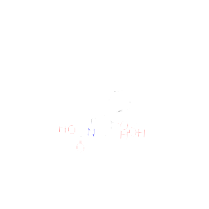 Cc1ccc(CO)c(C2(O)CCN(C(=O)O)CC2)c1